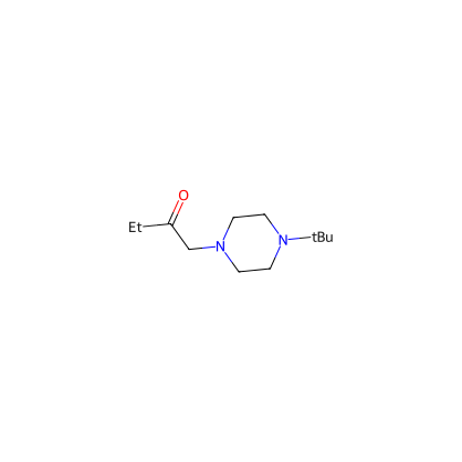 CCC(=O)CN1CCN(C(C)(C)C)CC1